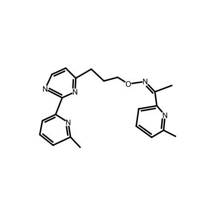 CC(=NOCCCc1ccnc(-c2cccc(C)n2)n1)c1cccc(C)n1